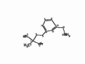 CCCC(C)(CCC)CCc1cccc(CN)c1